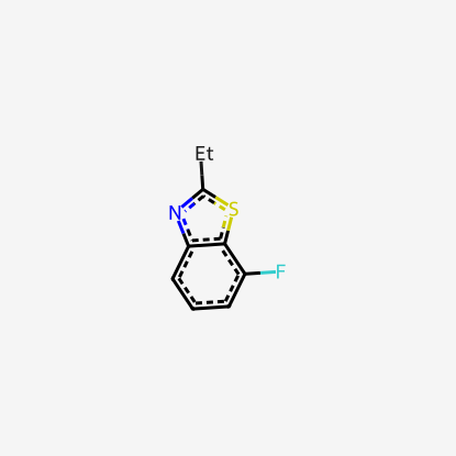 CCc1nc2cccc(F)c2s1